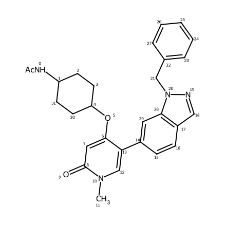 CC(=O)NC1CCC(Oc2cc(=O)n(C)cc2-c2ccc3cnn(Cc4ccccc4)c3c2)CC1